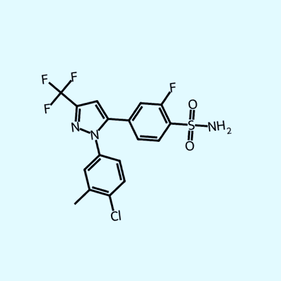 Cc1cc(-n2nc(C(F)(F)F)cc2-c2ccc(S(N)(=O)=O)c(F)c2)ccc1Cl